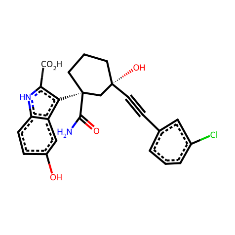 NC(=O)[C@@]1(c2c(C(=O)O)[nH]c3ccc(O)cc23)CCC[C@@](O)(C#Cc2cccc(Cl)c2)C1